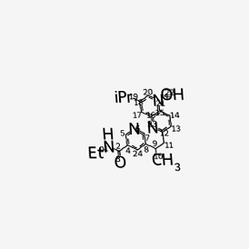 CCNC(=O)c1cncc(C(C)Cc2ccc3c(cc(C(C)C)c[n+]3O)n2)c1